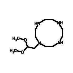 COC(CN1CCNCCNCCNCC1)OC